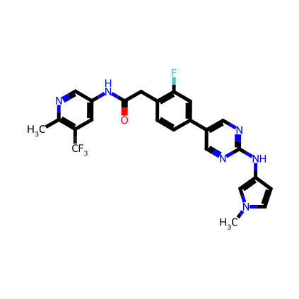 Cc1ncc(NC(=O)Cc2ccc(-c3cnc(Nc4ccn(C)c4)nc3)cc2F)cc1C(F)(F)F